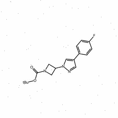 CC(C)(C)OC(=O)N1CC(n2cc(-c3ccc(F)cc3)cn2)C1